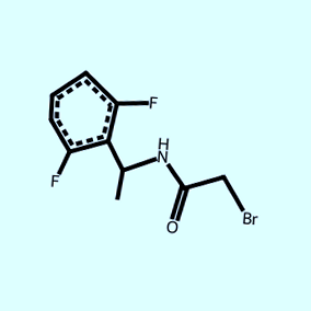 CC(NC(=O)CBr)c1c(F)cccc1F